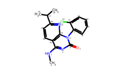 CNc1nc(=O)n(-c2ccccc2Cl)c2nc(C(C)C)ccc12